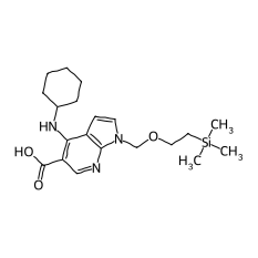 C[Si](C)(C)CCOCn1ccc2c(NC3CCCCC3)c(C(=O)O)cnc21